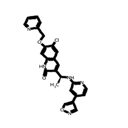 C[C@H](Nc1cc(-c2cnoc2)ccn1)c1cc2cc(Cl)c(OCc3ccccn3)cc2[nH]c1=O